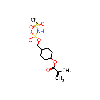 C=C(C)C(=O)OC1CCC(COS(=O)(=O)NS(=O)(=O)C(F)(F)F)CC1